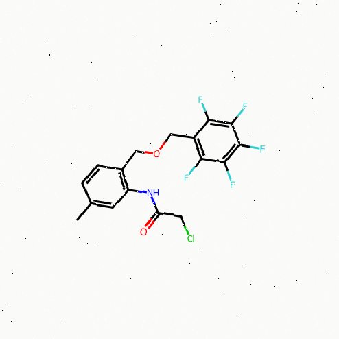 Cc1ccc(COCc2c(F)c(F)c(F)c(F)c2F)c(NC(=O)CCl)c1